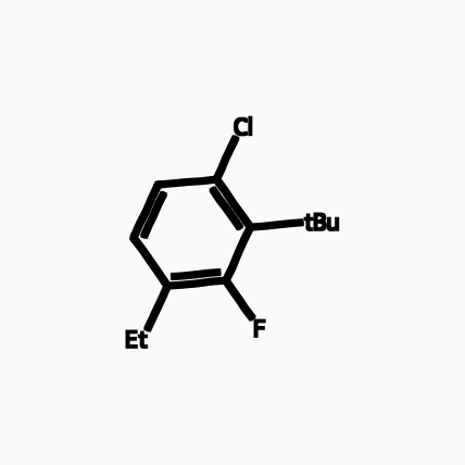 CCc1ccc(Cl)c(C(C)(C)C)c1F